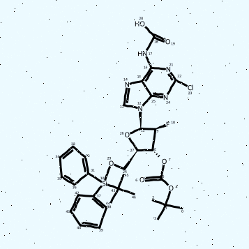 CC(C)(C)OC(=O)O[C@H]1[C@H](F)[C@H](n2cnc3c(NC(=O)O)nc(Cl)nc32)O[C@@H]1CO[Si](c1ccccc1)(c1ccccc1)C(C)(C)C